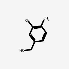 Cc1ccc(CS)cc1Cl